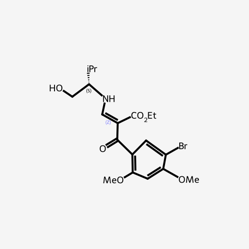 CCOC(=O)/C(=C\N[C@H](CO)C(C)C)C(=O)c1cc(Br)c(OC)cc1OC